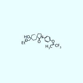 CCOC[C@]1(O)CC[C@@]2(CCN(c3ccc(O[C@@H](C)C(F)(F)F)cc3)C2=O)CC1